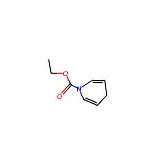 CCOC(=O)N1C=CCC=C1